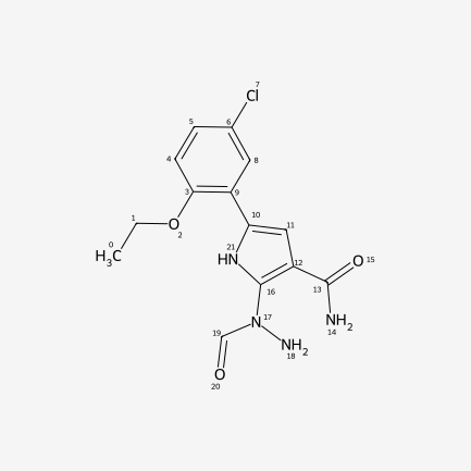 CCOc1ccc(Cl)cc1-c1cc(C(N)=O)c(N(N)C=O)[nH]1